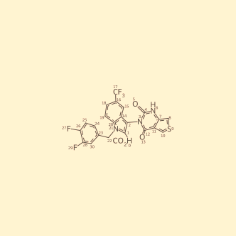 O=C(O)c1c(-n2c(=O)[nH]c3cscc3c2=O)c2cc(C(F)(F)F)ccc2n1Cc1ccc(F)c(F)c1